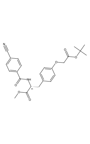 COC(=O)[C@@H](Cc1ccc(OCC(=O)OC(C)(C)C)cc1)NC(=O)c1ccc(C#N)cc1